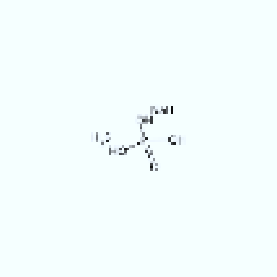 O=P(O)(O)O.S.[NaH]